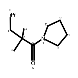 CC(C)CC(C)(C)C(=O)N1CCCC1